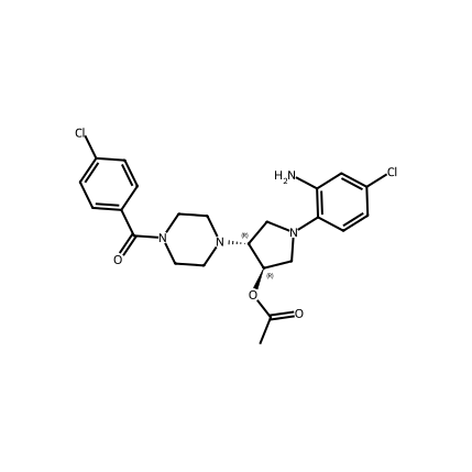 CC(=O)O[C@@H]1CN(c2ccc(Cl)cc2N)C[C@H]1N1CCN(C(=O)c2ccc(Cl)cc2)CC1